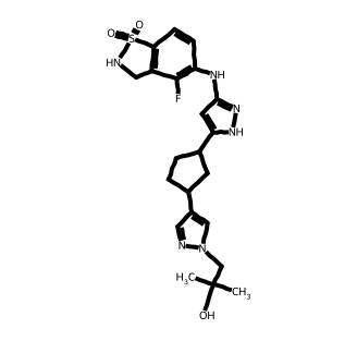 CC(C)(O)Cn1cc(C2CCC(c3cc(Nc4ccc5c(c4F)CNS5(=O)=O)n[nH]3)C2)cn1